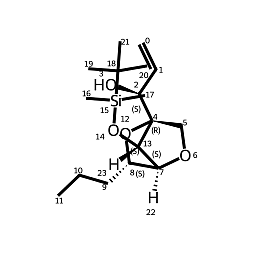 C=C[C@H](O)[C@@]12CO[C@@H]([C@H](CCC)O1)[C@@H]2O[Si](C)(C)C(C)(C)C